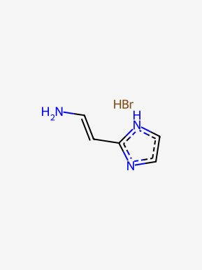 Br.NC=Cc1ncc[nH]1